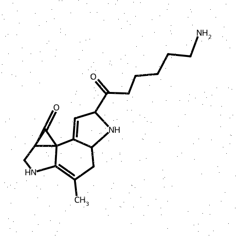 CC1=C2NCC3C(=O)C23C2=CC(C(=O)CCCCCN)NC2C1